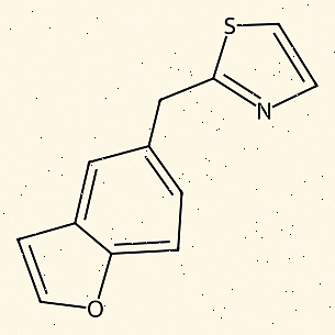 c1csc(Cc2ccc3occc3c2)n1